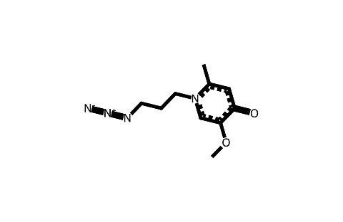 COc1cn(CCCN=[N+]=[N-])c(C)cc1=O